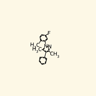 Cc1ccc(F)cc1-n1nc(C)c(-c2ccccc2)c1C